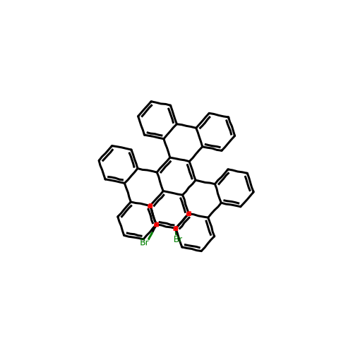 Brc1cc2c(-c3ccccc3-c3ccccc3)c3c4ccccc4c4ccccc4c3c(-c3ccccc3-c3ccccc3)c2cc1Br